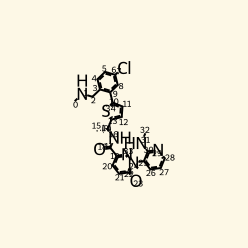 CNCc1ccc(Cl)cc1-c1ccc([C@@H](C)NC(=O)c2ccc(=O)n(-c3cccnc3NC)n2)s1